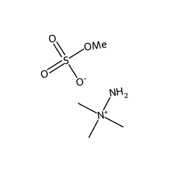 COS(=O)(=O)[O-].C[N+](C)(C)N